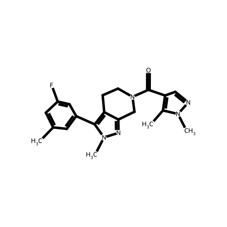 Cc1cc(F)cc(-c2c3c(nn2C)CN(C(=O)c2cnn(C)c2C)CC3)c1